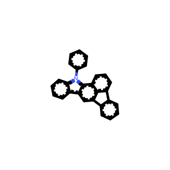 c1ccc(-n2c3ccccc3c3cc4c5c(cccc5c32)-c2ccccc2-4)cc1